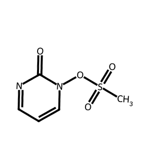 CS(=O)(=O)On1cccnc1=O